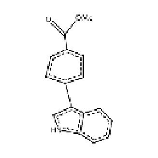 COC(=O)c1ccc(-c2c[nH]c3ccccc23)cc1